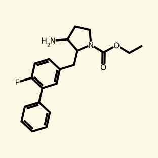 CCOC(=O)N1CCC(N)C1Cc1ccc(F)c(-c2ccccc2)c1